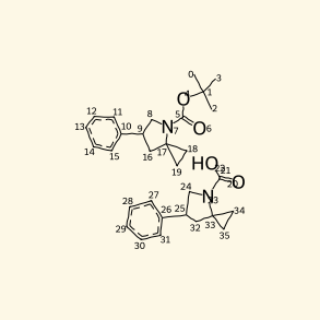 CC(C)(C)OC(=O)N1CC(c2ccccc2)CC12CC2.O=C(O)N1CC(c2ccccc2)CC12CC2